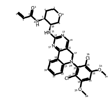 C=CC(=O)N[C@H]1CCOC[C@H]1Nc1ncc2c(n1)-c1ccccc1N(c1c(Cl)c(OC)cc(OC)c1Cl)C2